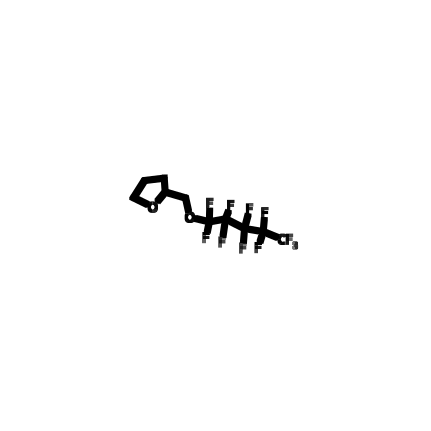 FC(F)(F)C(F)(F)C(F)(F)C(F)(F)C(F)(F)OCC1CCCO1